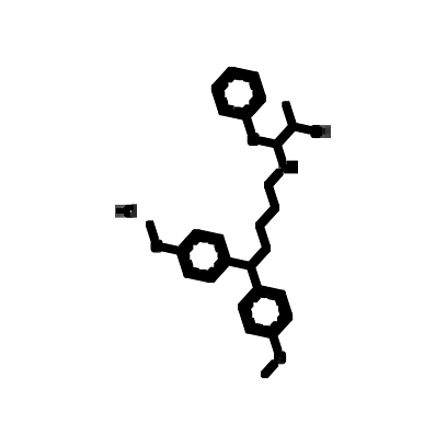 COc1ccc(C(CCCCNC(Oc2ccccc2)C(C)O)c2ccc(OC)cc2)cc1.Cl